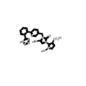 CCCCc1cn(-c2c(C(=O)OCC)ccn2CCC)c(=O)n1Cc1ccc(-c2ccccc2-c2nnn[nH]2)nc1